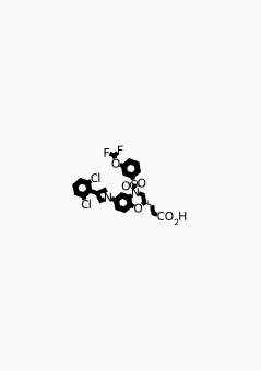 O=C(O)CC[C@H]1CN(S(=O)(=O)c2cccc(OC(F)F)c2)c2cc(N3CC(c4c(Cl)cccc4Cl)C3)ccc2O1